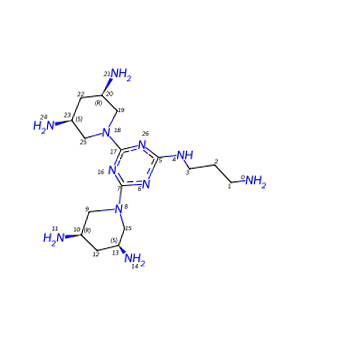 NCCCNc1nc(N2C[C@H](N)C[C@H](N)C2)nc(N2C[C@H](N)C[C@H](N)C2)n1